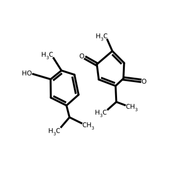 CC1=CC(=O)C(C(C)C)=CC1=O.Cc1ccc(C(C)C)cc1O